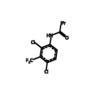 CC(C)C(=O)Nc1ccc(Cl)c(C(F)(F)F)c1Cl